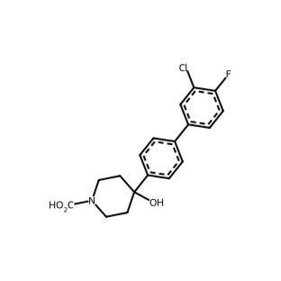 O=C(O)N1CCC(O)(c2ccc(-c3ccc(F)c(Cl)c3)cc2)CC1